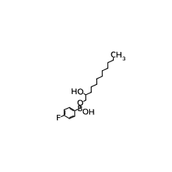 CCCCCCCCCCC(O)COB(O)c1ccc(F)cc1